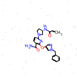 C=CC(=O)N[C@H]1CCN(c2ccc(C(N)=O)c(Oc3cnn(Cc4ccccc4)c3)n2)C1